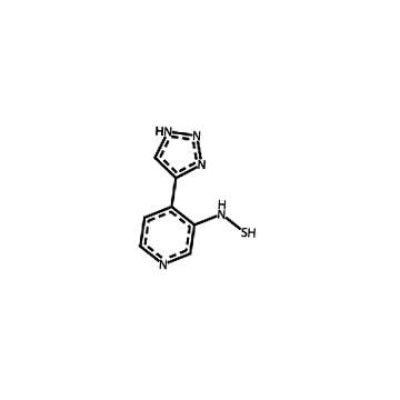 SNc1cnccc1-c1c[nH]nn1